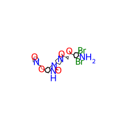 Nc1c(Br)cc(C(=O)[C@@H]2C[C@H]2C(=O)N2CCC(N3Cc4cc(OCCN5CCOCC5)ccc4NC3=O)CC2)cc1Br